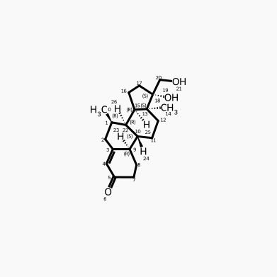 C[C@@H]1CC2=CC(=O)CC[C@@H]2[C@H]2CC[C@@]3(C)[C@H](CC[C@@]3(O)CO)[C@@H]21